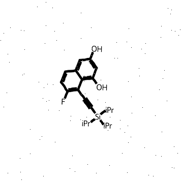 CC(C)[Si](C#Cc1c(F)ccc2cc(O)cc(O)c12)(C(C)C)C(C)C